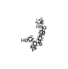 O=C(NCC12CC3CC(CC(C3)C1)C2)c1ccc(N2CCN(C(=O)c3cc(-c4cccc(O)c4)cc(C(F)(F)F)c3)CC2)nn1